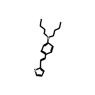 CCCCN(CCCC)c1ccc(/C=C/c2cccs2)cc1